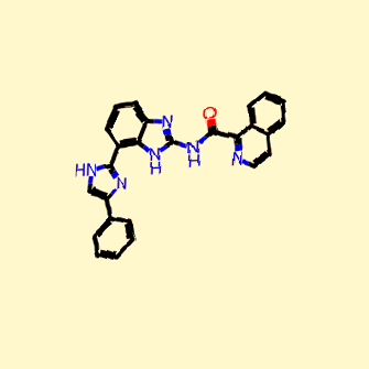 O=C(Nc1nc2cccc(-c3nc(-c4ccccc4)c[nH]3)c2[nH]1)c1nccc2ccccc12